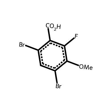 COc1c(Br)cc(Br)c(C(=O)O)c1F